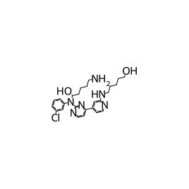 NCCCCC(O)N(c1cccc(Cl)c1)c1nccc(-c2ccnc(NCCCCCO)c2)n1